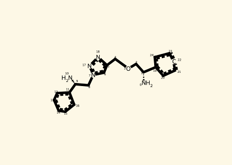 N[C@H](COCc1cn(C[C@@H](N)c2ccccc2)nn1)c1ccccc1